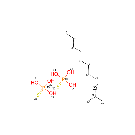 CCCCCCC[CH2][Zn][CH](C)C.OP(O)(O)=S.OP(O)(O)=S